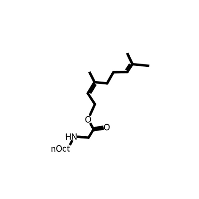 CCCCCCCCNCC(=O)OCC=C(C)CCC=C(C)C